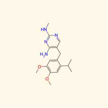 CNc1ncc(Cc2cc(OC)c(OC)cc2C(C)C)c(N)n1